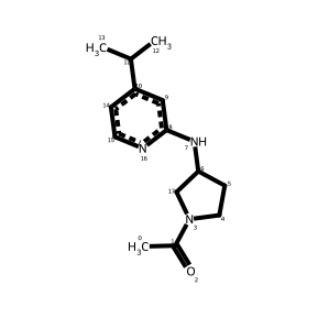 CC(=O)N1CCC(Nc2cc(C(C)C)ccn2)C1